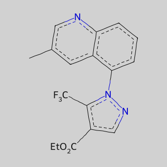 CCOC(=O)c1cnn(-c2cccc3ncc(C)cc23)c1C(F)(F)F